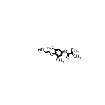 C=C(C)C(=O)Oc1cc(C)c(OCCO)c(C)c1